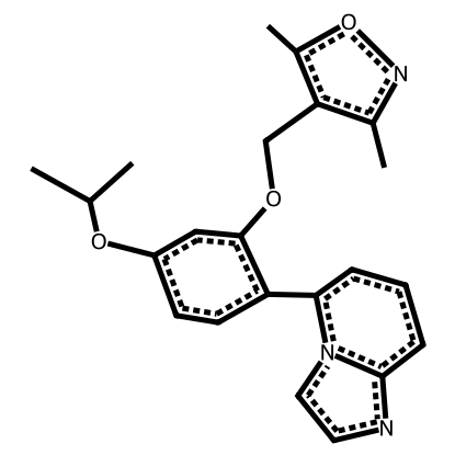 Cc1noc(C)c1COc1cc(OC(C)C)ccc1-c1cccc2nccn12